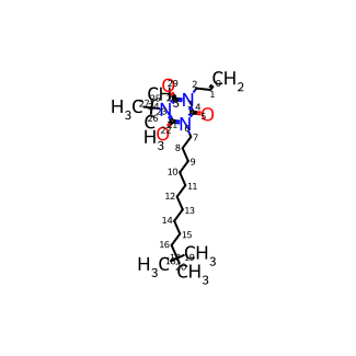 C=CCn1c(=O)n(CCCCCCCCCCC(C)(C)C)c(=O)n(C(C)(C)C)c1=O